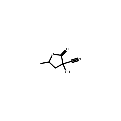 CC1CC(O)(C#N)C(=O)O1